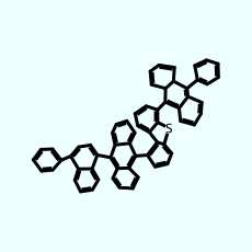 C1=CC2C(c3ccccc3)=c3ccccc3=C(c3cccc4c3sc3cccc(-c5c6ccccc6c(-c6ccc(-c7ccccc7)c7ccccc67)c6ccccc56)c34)C2C=C1